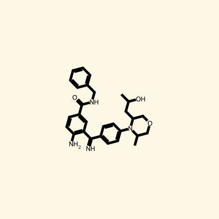 CC(O)CC1COCC(C)N1c1ccc(C(=N)c2cc(C(=O)NCc3ccccc3)ccc2N)cc1